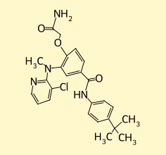 CN(c1cc(C(=O)Nc2ccc(C(C)(C)C)cc2)ccc1OCC(N)=O)c1ncccc1Cl